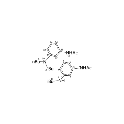 CCC(C)Nc1cccc(NC(C)=O)c1.CCCCN(c1cccc(NC(C)=O)c1)C(C)CC